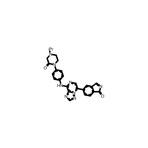 CC(C)N1CCN(c2ccc(Nc3ncc(-c4ccc5c(c4)C=NC5=O)n4ncnc34)cc2)C(=O)C1